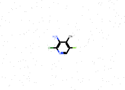 N#Cc1c(F)cnc(Cl)c1N